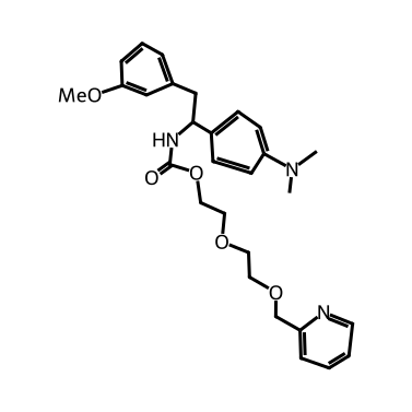 COc1cccc(CC(NC(=O)OCCOCCOCc2ccccn2)c2ccc(N(C)C)cc2)c1